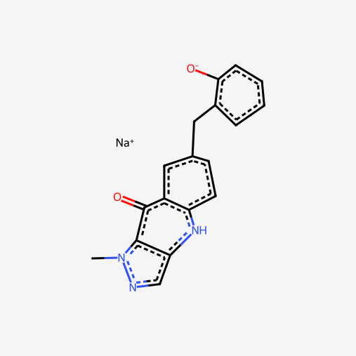 Cn1ncc2[nH]c3ccc(Cc4ccccc4[O-])cc3c(=O)c21.[Na+]